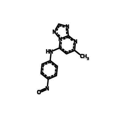 Cc1cc(Nc2ccc(N=O)cc2)n2ncnc2n1